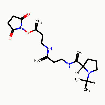 [2H]C(C)(C)N1CCCC1([2H])C(=C)NCCC(=C)NCCC(=C)ON1C(=O)CCC1=O